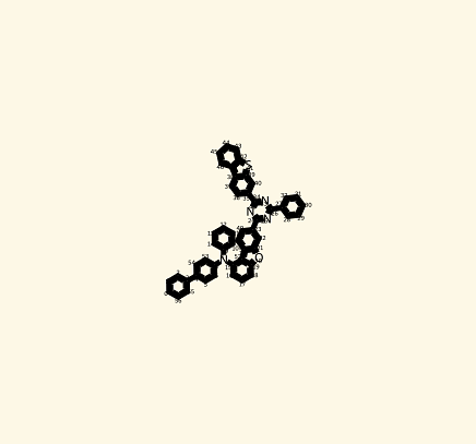 c1ccc(-c2ccc(N(c3ccccc3)c3cccc4oc5cc(-c6nc(-c7ccccc7)nc(-c7ccc8c(c7)sc7ccccc78)n6)ccc5c34)cc2)cc1